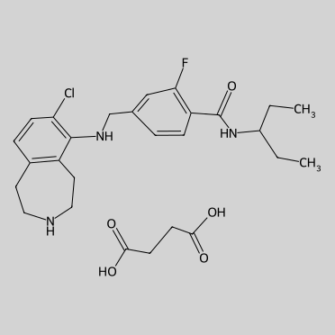 CCC(CC)NC(=O)c1ccc(CNc2c(Cl)ccc3c2CCNCC3)cc1F.O=C(O)CCC(=O)O